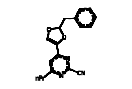 CCCc1cc(C2=COC(Cc3ccccc3)O2)nc(C#N)n1